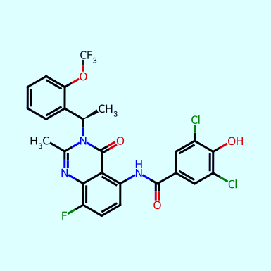 Cc1nc2c(F)ccc(NC(=O)c3cc(Cl)c(O)c(Cl)c3)c2c(=O)n1[C@H](C)c1ccccc1OC(F)(F)F